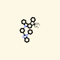 CC1(C)c2ccccc2-c2c1ccc1c2c2ccccc2n1-c1cccc(-c2nc3ccccc3n2-c2ccccc2)c1